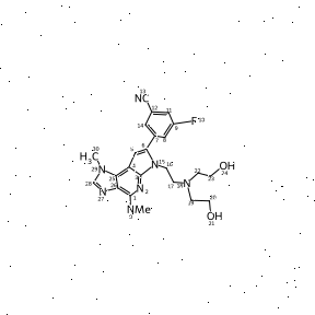 CNc1nc2c(cc(-c3cc(F)cc(C#N)c3)n2CCN(CCO)CCO)c2c1ncn2C